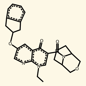 CCn1cc(C(=O)N2C3COCC2COC3)c(=O)c2cc(OC3Cc4ccccc4C3)cnc21